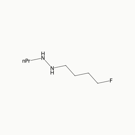 CCCNNCCCCF